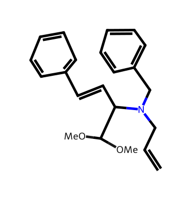 C=CCN(Cc1ccccc1)C(/C=C/c1ccccc1)C(OC)OC